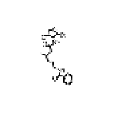 CCC1OCC(=O)C1NC(=O)CC(C)CCCNC(=O)c1ccccc1